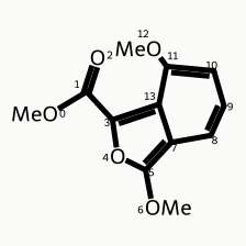 COC(=O)c1oc(OC)c2cccc(OC)c12